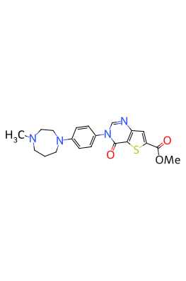 COC(=O)c1cc2ncn(-c3ccc(N4CCCN(C)CC4)cc3)c(=O)c2s1